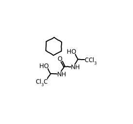 C1CCCCC1.O=C(NC(O)C(Cl)(Cl)Cl)NC(O)C(Cl)(Cl)Cl